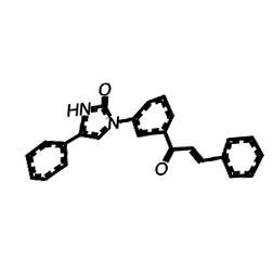 O=C(C=Cc1ccccc1)c1cccc(-n2cc(-c3ccccc3)[nH]c2=O)c1